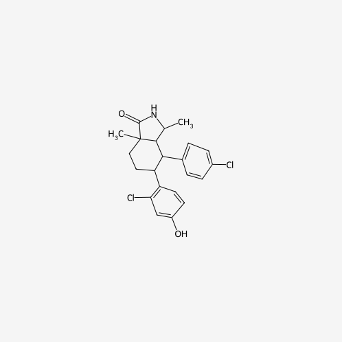 CC1NC(=O)C2(C)CCC(c3ccc(O)cc3Cl)C(c3ccc(Cl)cc3)C12